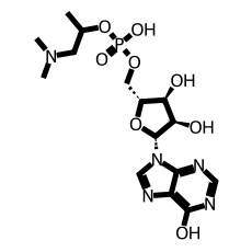 CC(CN(C)C)OP(=O)(O)OC[C@H]1O[C@@H](n2cnc3c(O)ncnc32)[C@H](O)[C@@H]1O